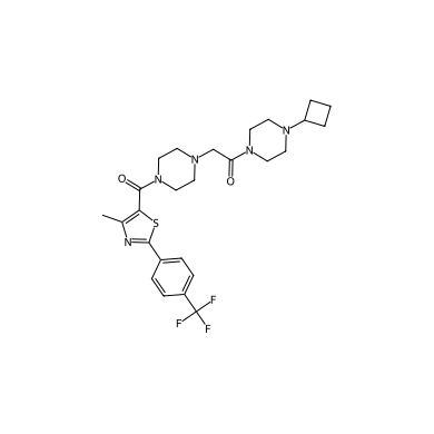 Cc1nc(-c2ccc(C(F)(F)F)cc2)sc1C(=O)N1CCN(CC(=O)N2CCN(C3CCC3)CC2)CC1